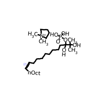 CCCCCCCC/C=C\CCCCCCCCC(O)(OP(=O)(O)O)C(C)(C)O.C[N+]1(C)CCCC1